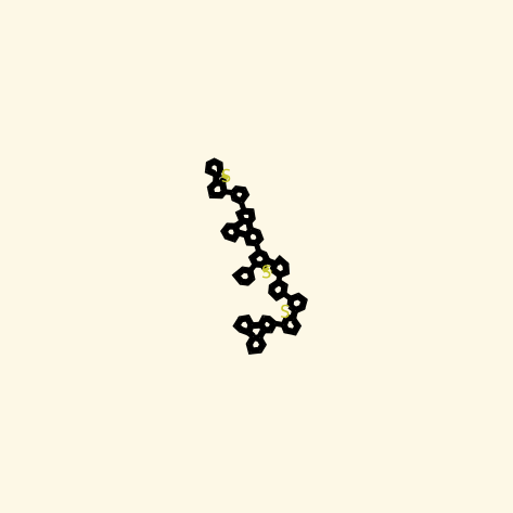 c1ccc(-c2cc(-c3ccc4c5ccc(-c6cccc(-c7cccc8c7sc7ccccc78)c6)cc5c5ccccc5c4c3)cc3c2sc2c(-c4cccc(-c5cccc6c5sc5c(-c7ccc8c9ccccc9c9ccccc9c8c7)cccc56)c4)cccc23)cc1